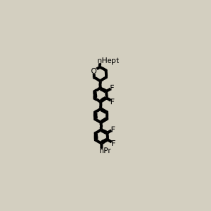 CCCCCCCC1CCC(c2ccc(-c3ccc(-c4ccc(CCC)c(F)c4F)cc3)c(F)c2F)CO1